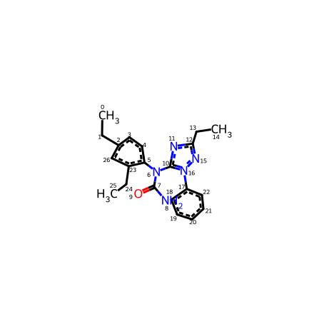 CCc1ccc(N(C(N)=O)c2nc(CC)nn2-c2ccccc2)c(CC)c1